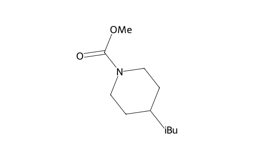 CCC(C)C1CCN(C(=O)OC)CC1